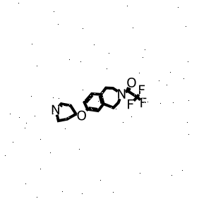 O=C(N1CCc2ccc(OC3CC=NCC3)cc2CC1)C(F)(F)F